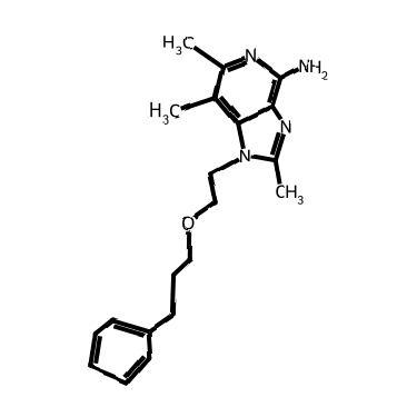 Cc1nc(N)c2nc(C)n(CCOCCCc3ccccc3)c2c1C